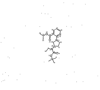 CCN(C(=O)OC(C)(C)C)[C@@H]1CCN(c2ncccc2C(=O)OC(C)C)C1